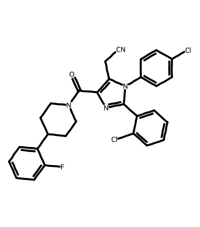 N#CCc1c(C(=O)N2CCC(c3ccccc3F)CC2)nc(-c2ccccc2Cl)n1-c1ccc(Cl)cc1